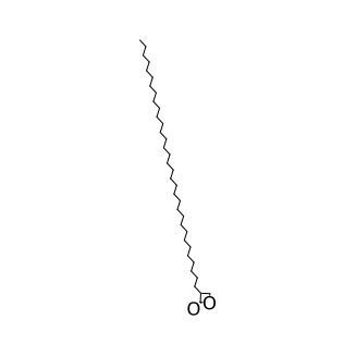 CCCCCCCCCCCCCCCCCCCCCCCCCCCCCCCCCC1COC1=O